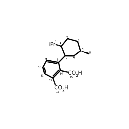 CC(C)C1CC[C@@H](C)CC1c1cccc(C(=O)O)c1C(=O)O